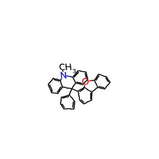 CN1c2ccccc2C(c2ccccc2)(c2cccc3c2oc2ccccc23)c2ccccc21